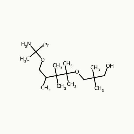 CC(C)C(C)(N)OCC(C)C(C)(C)C(C)(C)OCC(C)(C)CO